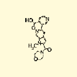 Cn1c(C(=O)N2CCOCC2)cc2cc(-c3cnccc3C(=O)O)ncc21